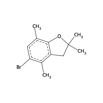 Cc1cc(Br)c(C)c2c1OC(C)(C)C2